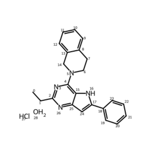 CCc1nc(N2CCc3ccccc3C2)c2[nH]c(-c3ccccc3)cc2n1.Cl.O